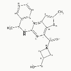 Cc1cc2nc(NC(C)c3cccnc3)nc(C(=O)N3CC(CO)C3)c2s1